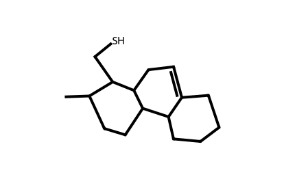 CC1CCC2C3CCCCC3=CCC2C1CS